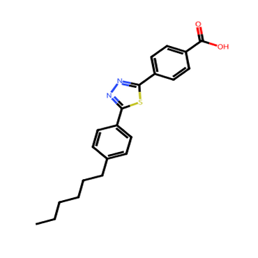 CCCCCCc1ccc(-c2nnc(-c3ccc(C(=O)O)cc3)s2)cc1